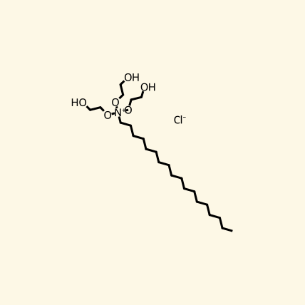 CCCCCCCCCCCCCCCCCC[N+](OCCO)(OCCO)OCCO.[Cl-]